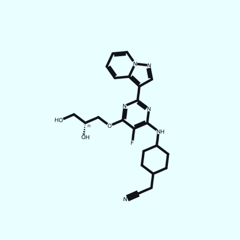 N#CCC1CCC(Nc2nc(-c3cnn4ccccc34)nc(OC[C@H](O)CO)c2F)CC1